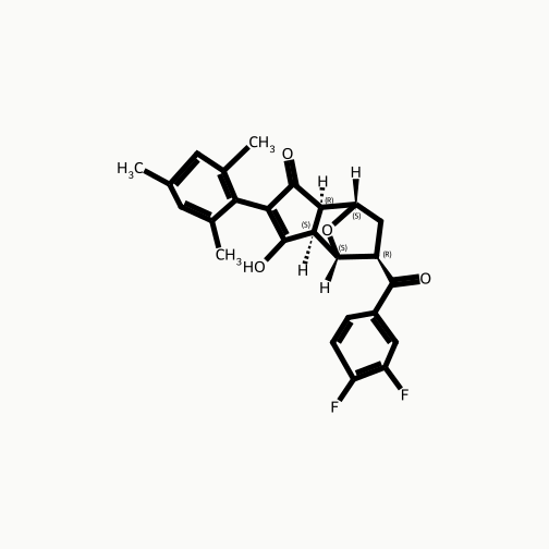 Cc1cc(C)c(C2=C(O)[C@@H]3[C@@H]4O[C@@H](C[C@H]4C(=O)c4ccc(F)c(F)c4)[C@@H]3C2=O)c(C)c1